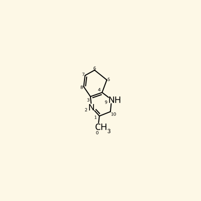 CC1=NC2=C(CCC=C2)NC1